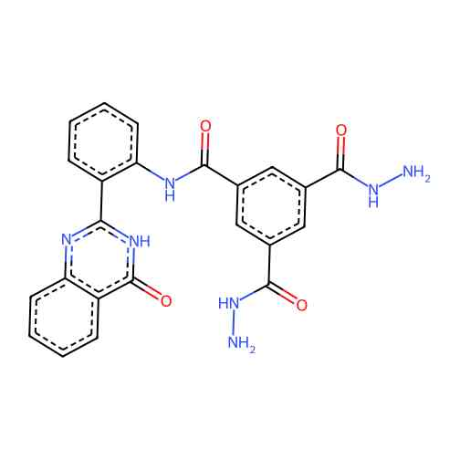 NNC(=O)c1cc(C(=O)NN)cc(C(=O)Nc2ccccc2-c2nc3ccccc3c(=O)[nH]2)c1